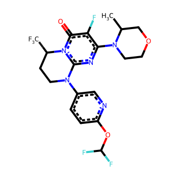 CC1COCCN1c1nc2n(c(=O)c1F)C(C(F)(F)F)CCN2c1ccc(OC(F)F)nc1